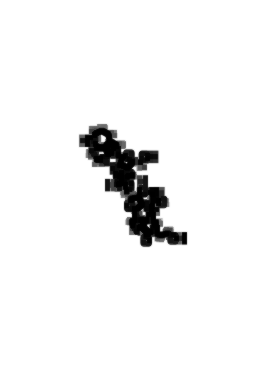 O=c1c2ncn([C@@H]3O[C@H](COP(=O)(S)O[C@H]4[C@@H](F)[C@H](n5cc6c7c(ncnc75)NCCC6)O[C@@H]4CO)[C@@H](O)[C@H]3O[PH](=O)S)c2ncn1CCO